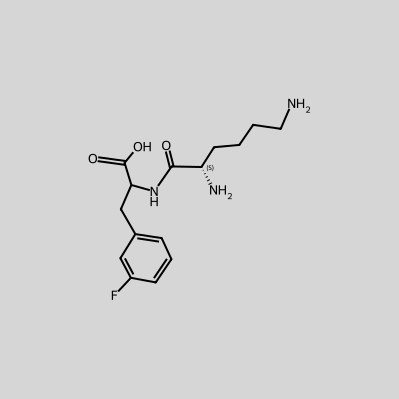 NCCCC[C@H](N)C(=O)NC(Cc1cccc(F)c1)C(=O)O